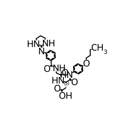 CCCCOc1ccc(NC(=O)[C@H](CC(=O)O)NC(=O)CNC(=O)c2cccc(N=C3NCCCN3)c2)cc1